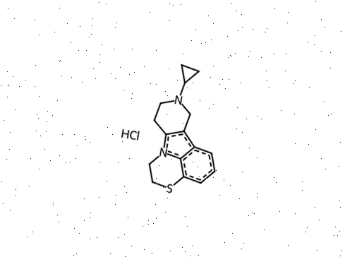 Cl.c1cc2c3c(c1)c1c(n3CCS2)CCN(C2CC2)C1